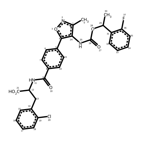 Cc1noc(-c2ccc(C(=O)NC(Cc3ccccc3Cl)C(=O)O)cc2)c1NC(=O)OC(C)c1ccccc1F